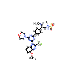 COc1cccc2c1nc(C(F)F)n2-c1nc(-c2ccc(C(CN[SH](=O)=O)N(C)C)cc2)nc(N2CCOCC2)n1